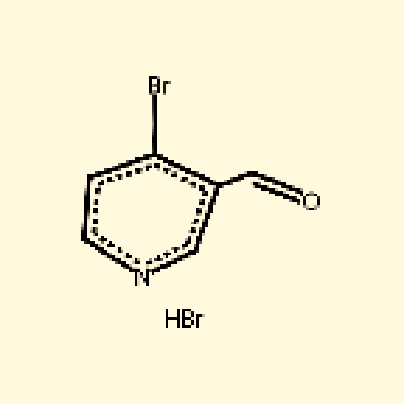 Br.O=Cc1cnccc1Br